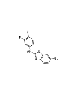 CCc1ccc2nc(Nc3ccc(F)c(F)c3)sc2c1